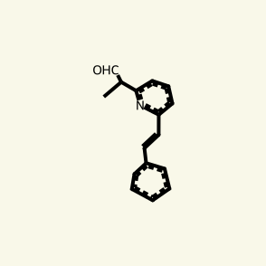 CC(C=O)c1cccc(C=Cc2ccccc2)n1